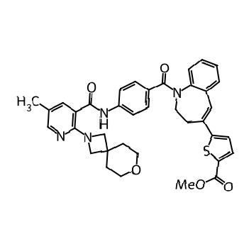 COC(=O)c1ccc(C2=Cc3ccccc3N(C(=O)c3ccc(NC(=O)c4cc(C)cnc4N4CC5(CCOCC5)C4)cc3)CC2)s1